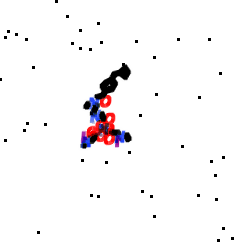 CCN(I)CC(=O)ON(OC(=O)CN(C)I)OC(=O)CN(C)CCN(CC)CC(=O)c1ccc(CC2CCC2)cc1